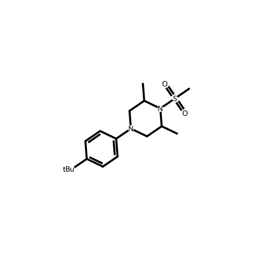 CC1CN(c2ccc(C(C)(C)C)cc2)CC(C)N1S(C)(=O)=O